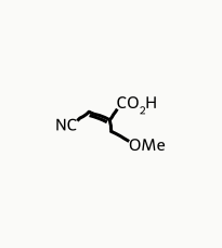 COC/C(=C\C#N)C(=O)O